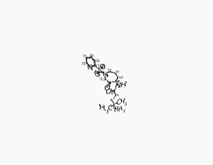 CC(C)(N)CCC(=O)N[C@H]1CCCN(S(=O)(=O)c2ccccn2)CC1=O